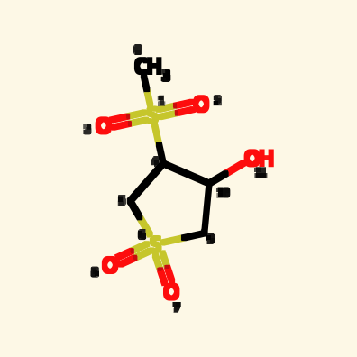 CS(=O)(=O)C1CS(=O)(=O)CC1O